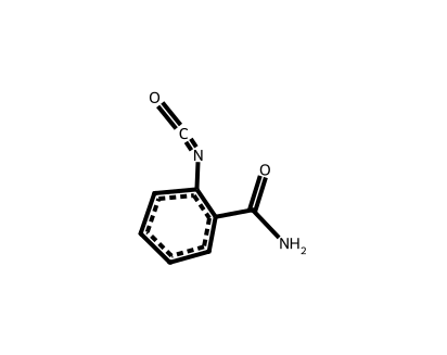 NC(=O)c1ccccc1N=C=O